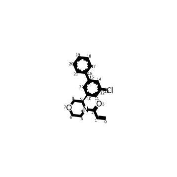 C=CC(=O)N1CCOC[C@H]1c1cc(Cl)cc(-c2ccccc2)c1